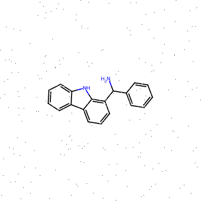 NC(c1ccccc1)c1cccc2c1[nH]c1ccccc12